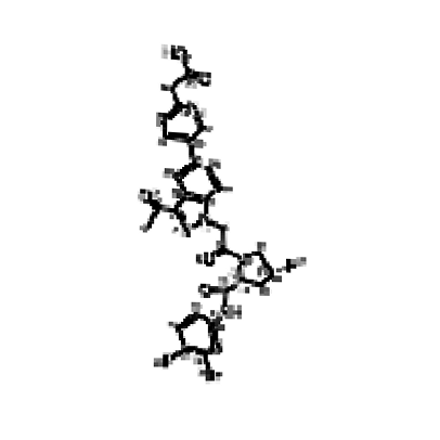 CC(=O)c1nn(CC(=O)N2C[C@H](F)C[C@H]2C(=O)Nc2ccc(F)c(Br)n2)c2ccc(-c3cnc(CC(=O)O)nc3)cc12